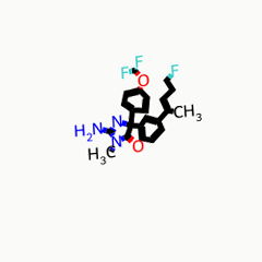 CC(=CCCF)c1cccc(C2(c3ccc(OC(F)F)cc3)N=C(N)N(C)C2=O)c1